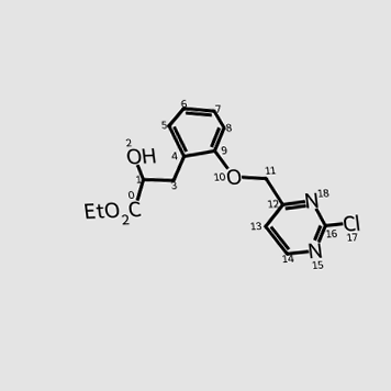 CCOC(=O)C(O)Cc1ccccc1OCc1ccnc(Cl)n1